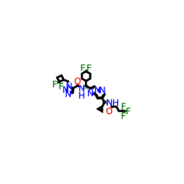 O=C(CCC(F)(F)F)N[C@@H](c1cnn2cc([C@@H](NC(=O)c3cnnn3CC3CCC3(F)F)C3CCC(F)(F)CC3)nc2c1)C1CC1